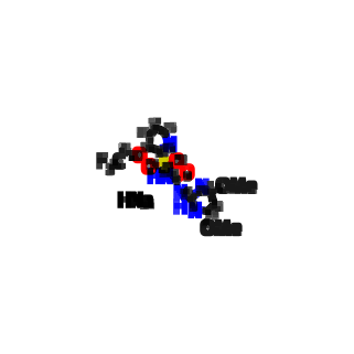 COc1cc(OC)nc(NC(=O)NS(=O)(=O)c2ncccc2OCC(F)(F)F)n1.[NaH]